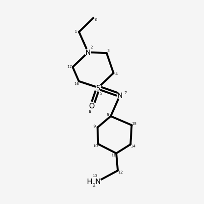 CCN1CCS(=O)(=NC2CCC(CN)CC2)CC1